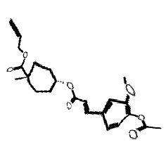 C=CCOC(=O)[C@]1(C)CC[C@H](OC(=O)/C=C/c2ccc(OC(C)=O)c(OC)c2)CC1